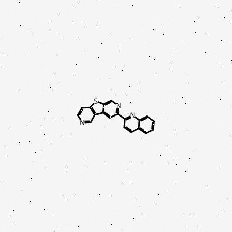 c1ccc2nc(-c3cc4c(cn3)sc3ccncc34)ccc2c1